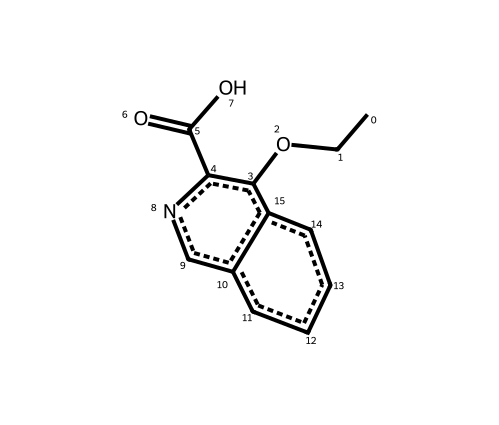 CCOc1c(C(=O)O)ncc2ccccc12